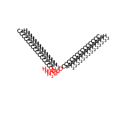 O.O.O.O.O.[CaH2].[CaH2].[CaH2].[CaH2].[CaH2].[CaH2].[CaH2].[CaH2].[CaH2].[CaH2].[CaH2].[CaH2].[CaH2].[CaH2].[CaH2].[CaH2].[CaH2].[CaH2].[CaH2].[CaH2].[CaH2].[CaH2].[CaH2].[CaH2].[CaH2].[CaH2].[CaH2].[CaH2]